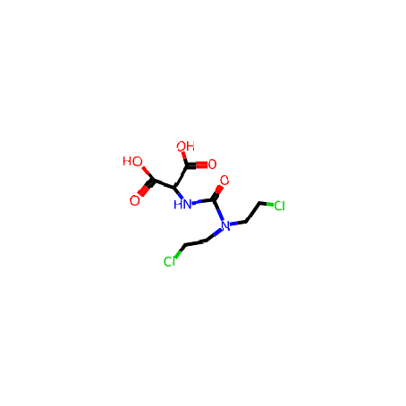 O=C(O)C(NC(=O)N(CCCl)CCCl)C(=O)O